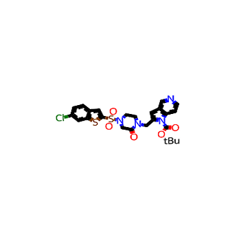 CC(C)(C)OC(=O)n1c(CN2CCN(S(=O)(=O)c3cc4ccc(Cl)cc4s3)CC2=O)cc2cnccc21